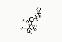 CCCOc1ccc(S(=O)(=O)NC(C)(C)N2CCCC2)cc1-c1nc2c(CCC)nn(C)c2c(=O)[nH]1